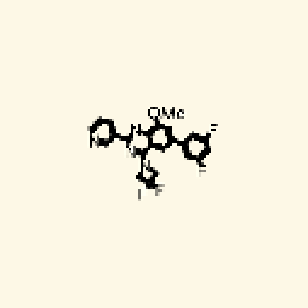 COc1cc(-c2cc(F)cc(F)c2)cc2c(N3CC(F)(F)C3)nc(-c3cccnc3)nc12